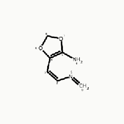 C=N/C=C\C1=C(N)OCO1